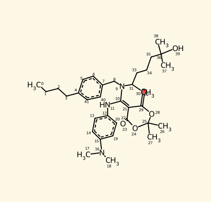 CCCCc1ccc(CN(C(Nc2ccc(N(C)C)cc2)=C2C(=O)OC(C)(C)OC2=O)C(C)CCCC(C)(C)O)cc1